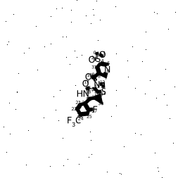 CS(=O)(=O)c1cncc(C(=O)N2CSC[C@@H]2C(=O)N[C@@H](c2ccc(C(F)(F)F)cc2F)C2CC2)c1